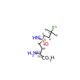 CC(C)(F)CCS(=N)(=O)CC[C@H](N)C(=O)O